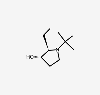 CC[C@@H]1[C@@H](O)CCN1C(C)(C)C